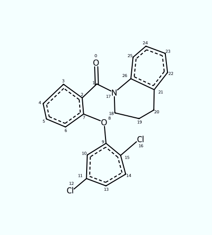 O=C(c1ccccc1Oc1cc(Cl)ccc1Cl)N1CCCc2ccccc21